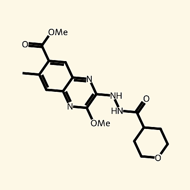 COC(=O)c1cc2nc(NNC(=O)C3CCOCC3)c(OC)nc2cc1C